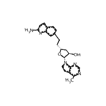 Cc1ncnc2c1ccn2[C@@H]1O[C@H](CCc2ccc3ccc(N)nc3c2)C[C@H]1O